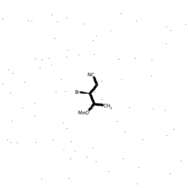 COC(C)[C@@H](Br)CC#N